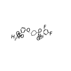 NS(=O)(=O)c1cccc(OC[C@H]2CC[C@H](C(=O)N3OCC[C@H]3c3cc(F)cc(F)c3)CC2)c1